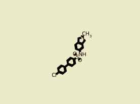 CN1Cc2ccc(NS(=O)(=O)c3ccc(-c4ccc(Cl)cc4)cc3)cc2C1